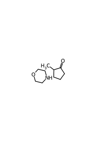 C1COCCN1.CC1CCCC1=O